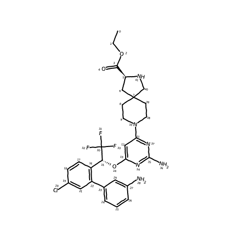 CCOC(=O)[C@@H]1CC2(CCN(c3cc(O[C@H](c4ccc(Cl)cc4-c4cccc(N)c4)C(F)(F)F)nc(N)n3)CC2)CN1